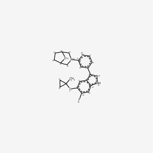 CC1(Oc2cc3c(-c4ccnc(N5CC6CCC(C5)O6)c4)n[nH]c3cc2F)CC1